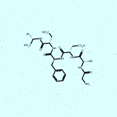 CC(C)[C@H](NC(=O)[C@H](CC(=O)O)NC(=O)[C@H](Cc1ccccc1)NC(=O)[C@H](CC(=O)O)NC(=O)[C@@H](NC(=O)CN)C(C)C)C(=O)O